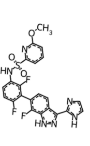 COc1cccc(S(=O)(=O)Nc2ccc(F)c(-c3ccc4c(-c5ncc[nH]5)n[nH]c4c3F)c2F)n1